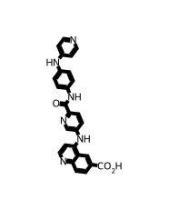 O=C(O)c1ccc2nccc(Nc3ccc(C(=O)Nc4ccc(Nc5ccncc5)cc4)nc3)c2c1